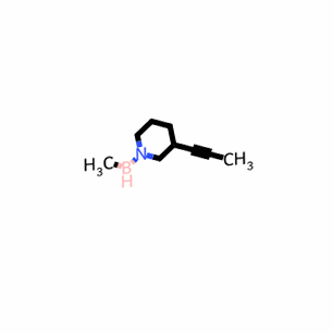 CBN1CCCC(C#CC)C1